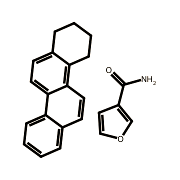 NC(=O)c1ccoc1.c1ccc2c(c1)ccc1c3c(ccc12)CCCC3